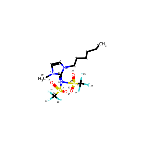 CCCCCCn1ccn(C)c1=[N+](S(=O)(=O)C(F)(F)F)S(=O)(=O)C(F)(F)F